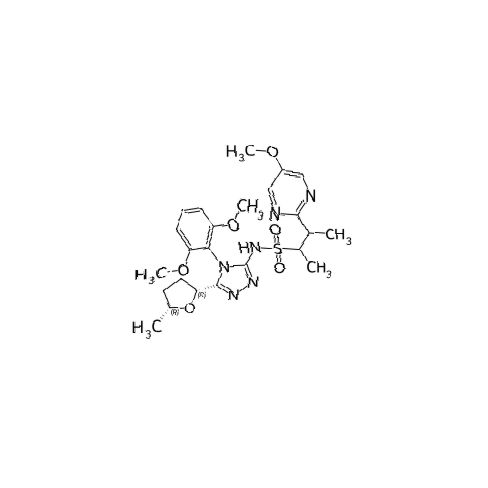 COc1cnc(C(C)C(C)S(=O)(=O)Nc2nnc([C@H]3CC[C@@H](C)O3)n2-c2c(OC)cccc2OC)nc1